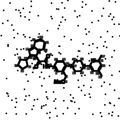 COCc1cc(NC(=O)C(=O)c2c(C3CCCC3)cc3ccccn23)ccc1N1CCN(c2cc(C)cc(C)n2)CC1